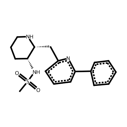 CS(=O)(=O)N[C@@H]1CCCN[C@@H]1Cc1cccc(-c2ccccc2)n1